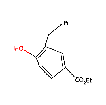 CCOC(=O)c1ccc(O)c(CC(C)C)c1